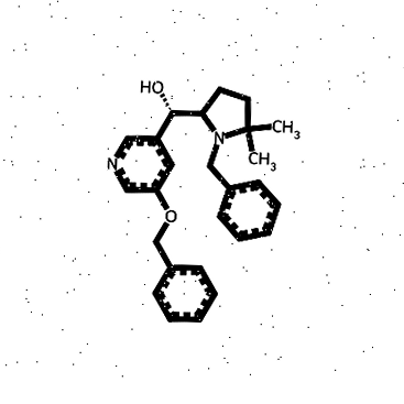 CC1(C)CCC([C@@H](O)c2cncc(OCc3ccccc3)c2)N1Cc1ccccc1